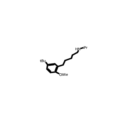 COc1ccc(C(C)(C)C)cc1CCCCCNC(C)C